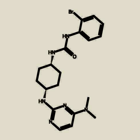 CN(C)c1ccnc(N[C@H]2CC[C@@H](NC(=O)Nc3ccccc3Br)CC2)n1